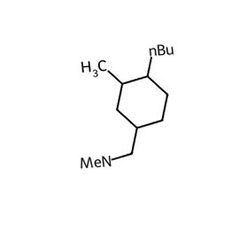 CCCCC1CCC(CNC)CC1C